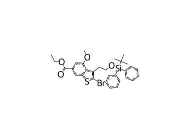 CCOC(=O)c1cc(OC)c2c(CCO[Si](c3ccccc3)(c3ccccc3)C(C)(C)C)c(Br)sc2c1